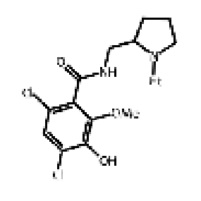 CCN1CCCC1CNC(=O)c1c(Cl)cc(Cl)c(O)c1OC